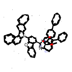 CC1C/C=C(c2cccc(-c3ccccc3)c2)/N=C(c2ccc(-n3c4cc5ccccc5cc4c4c5ccccc5ccc43)c3oc4ccccc4c23)\N=C/1c1ccc(-c2ccccc2)cc1